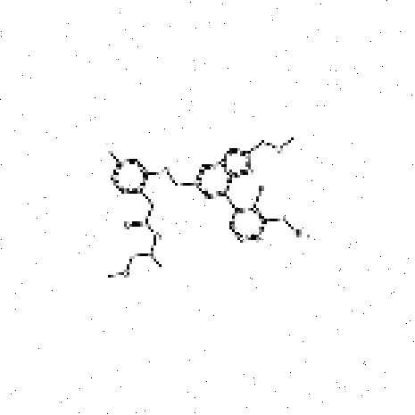 COCc1cc2cc(COc3cc(F)ccc3CC(=O)OC(C)COC)cc(-c3ccnc(CN)c3F)c2o1